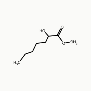 CCCCCC(O)C(=O)O[SiH3]